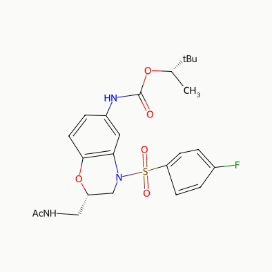 CC(=O)NC[C@H]1CN(S(=O)(=O)c2ccc(F)cc2)c2cc(NC(=O)O[C@@H](C)C(C)(C)C)ccc2O1